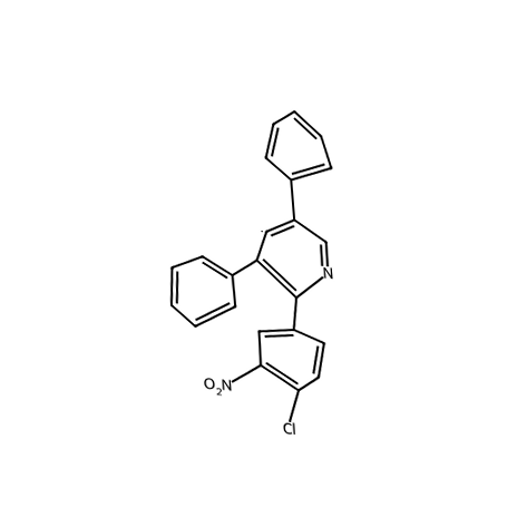 O=[N+]([O-])c1cc(-c2ncc(-c3ccccc3)[c]c2-c2ccccc2)ccc1Cl